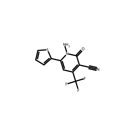 N#Cc1c(C(F)(F)F)cc(-c2cccs2)n(N)c1=O